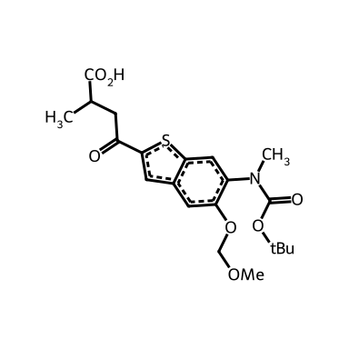 COCOc1cc2cc(C(=O)CC(C)C(=O)O)sc2cc1N(C)C(=O)OC(C)(C)C